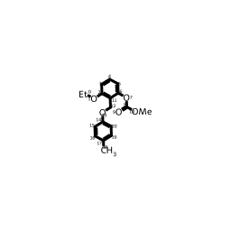 CCOc1cccc(OC(=O)OC)c1COc1ccc(C)cc1